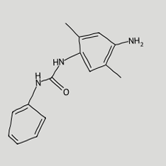 Cc1cc(NC(=O)Nc2ccccc2)c(C)cc1N